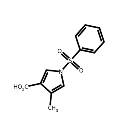 Cc1cn(S(=O)(=O)c2ccccc2)cc1C(=O)O